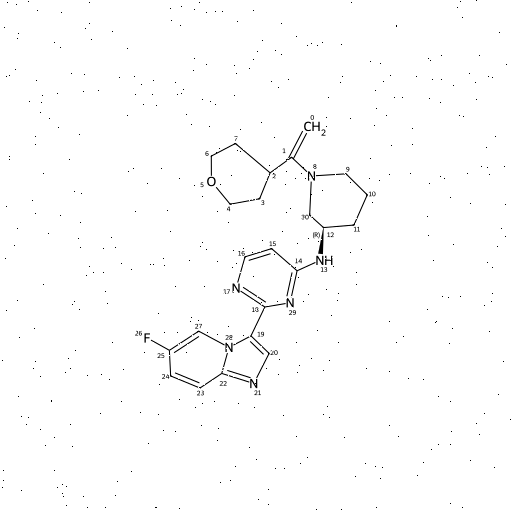 C=C(C1CCOCC1)N1CCC[C@@H](Nc2ccnc(-c3cnc4ccc(F)cn34)n2)C1